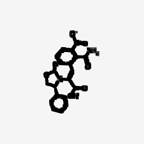 NC(=O)c1c(C=C(C(=O)O)N2C(=O)OC[C@@H]2c2ccccc2)cccc1[N+](=O)[O-]